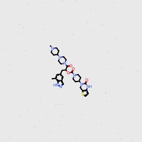 Cc1cc(CC(OC(=O)N2CCC(N3Cc4sccc4NC3=O)CC2)C(=O)N2CCN(C3CCN(C)CC3)CC2)cc2cn[nH]c12